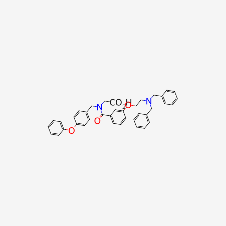 O=C(O)CN(Cc1ccc(Oc2ccccc2)cc1)C(=O)c1cccc(OCCN(Cc2ccccc2)Cc2ccccc2)c1